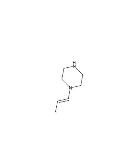 [CH2]/C=C/N1CCNCC1